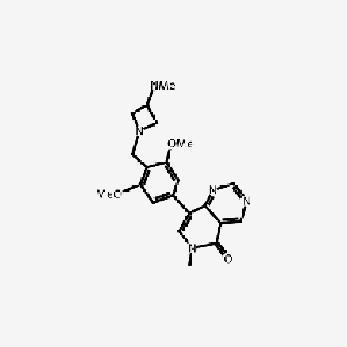 CNC1CN(Cc2c(OC)cc(-c3cn(C)c(=O)c4cncnc34)cc2OC)C1